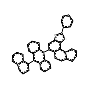 c1ccc(-c2nc3cc(-c4c5ccccc5c(-c5cccc6ccccc56)c5ccccc45)c4ccc5ccccc5c4c3o2)cc1